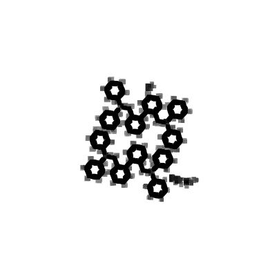 [Br-].[Br-].[Br-].[Rh+3].c1ccc(P(Cc2ccccc2-c2ccccc2CP(c2ccccc2)c2ccccc2)c2ccccc2)cc1.c1ccc(P(Cc2ccccc2-c2ccccc2CP(c2ccccc2)c2ccccc2)c2ccccc2)cc1